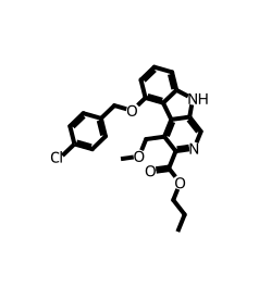 CCCOC(=O)c1ncc2[nH]c3cccc(OCc4ccc(Cl)cc4)c3c2c1COC